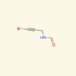 O=CNCC#CBr